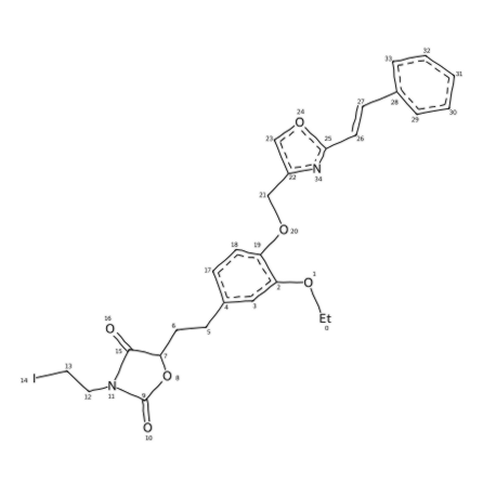 CCOc1cc(CCC2OC(=O)N(CCI)C2=O)ccc1OCc1coc(/C=C/c2ccccc2)n1